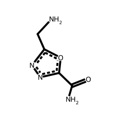 NCc1nnc(C(N)=O)o1